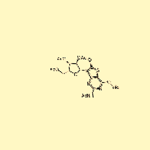 CCCCOc1nc(NC(C)=O)nc2c1sc(=O)n2[C@@H]1O[C@H](COC(C)=O)[C@@H](OC(C)=O)[C@H]1OC(C)=O